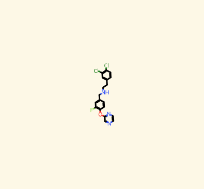 Fc1cc(CNCCc2ccc(Cl)c(Cl)c2)ccc1Oc1cnccn1